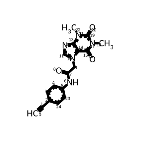 C#Cc1ccc(NC(=O)Cn2cnc3c2c(=O)n(C)c(=O)n3C)cc1